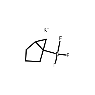 F[B-](F)(F)C12CCCC1C2.[K+]